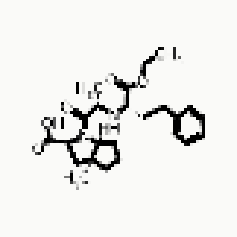 CCOC(=O)[C@H](CCc1ccccc1)N[C@@H](C)C(=O)N1[C@H]2CCC[C@@]2(C)C[C@H]1C(=O)O